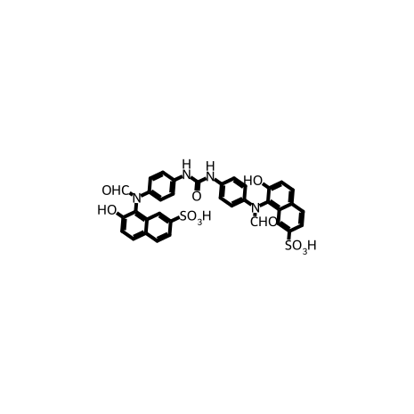 O=CN(c1ccc(NC(=O)Nc2ccc(N(C=O)c3c(O)ccc4ccc(S(=O)(=O)O)cc34)cc2)cc1)c1c(O)ccc2ccc(S(=O)(=O)O)cc12